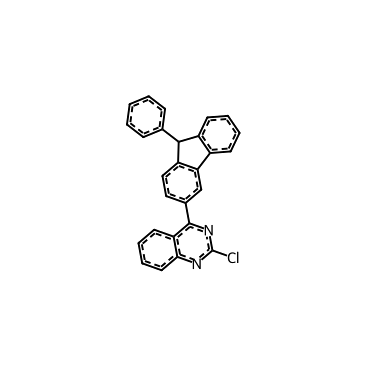 Clc1nc(-c2ccc3c(c2)-c2ccccc2C3c2ccccc2)c2ccccc2n1